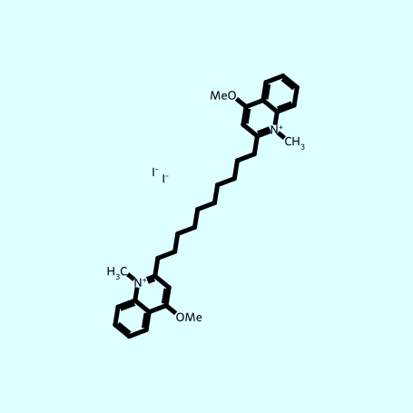 COc1cc(CCCCCCCCCCc2cc(OC)c3ccccc3[n+]2C)[n+](C)c2ccccc12.[I-].[I-]